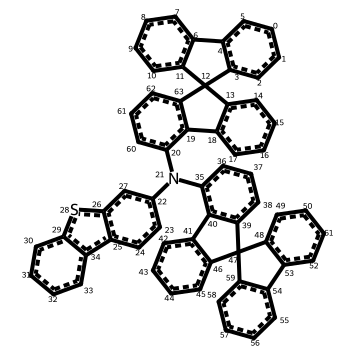 c1ccc2c(c1)-c1ccccc1C21c2ccccc2-c2c(N(c3ccc4c(c3)sc3ccccc34)c3cccc4c3-c3ccccc3C43c4ccccc4-c4ccccc43)cccc21